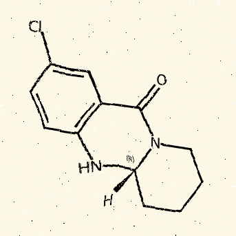 O=C1c2cc(Cl)ccc2N[C@H]2CCCCN12